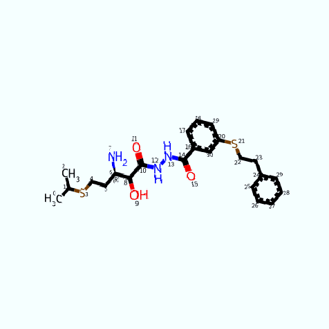 CC(C)SCC[C@@H](N)C(O)C(=O)NNC(=O)c1cccc(SCCc2ccccc2)c1